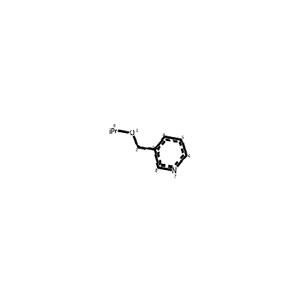 CC(C)OCc1cccnc1